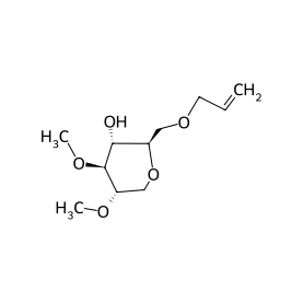 C=CCOC[C@H]1OC[C@H](OC)[C@@H](OC)[C@@H]1O